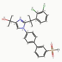 CCS(=O)(=O)c1cccc(-c2ccc(-n3cc(C(C)(C)O)nc3C(C)(C)c3cccc(Cl)c3Cl)cc2)c1